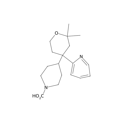 CC1(C)CC(c2ccccn2)(C2CCN(C(=O)O)CC2)CCO1